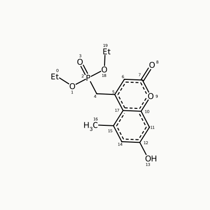 CCOP(=O)(Cc1cc(=O)oc2cc(O)cc(C)c12)OCC